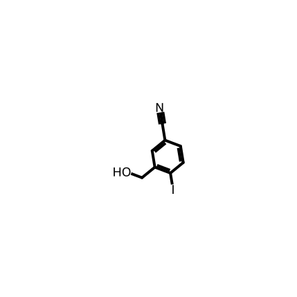 N#Cc1ccc(I)c(CO)c1